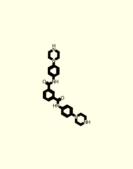 O=C(Nc1ccc(N2CCNCC2)cc1)c1cccc(C(=O)Nc2ccc(N3CCNCC3)cc2)c1